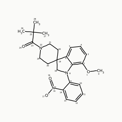 COc1cccc2c1N(c1ccccc1[N+](=O)[O-])CC21CCN(C(=O)C(C)(C)C)CC1